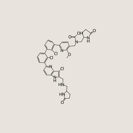 COc1nc(-c2cccc(-c3cccc(-c4ccc5[nH]c(CNCC6CCC(=O)N6)c(Cl)c5n4)c3Cl)c2Cl)ccc1CN(CC1CCC(=O)N1)C(=O)O